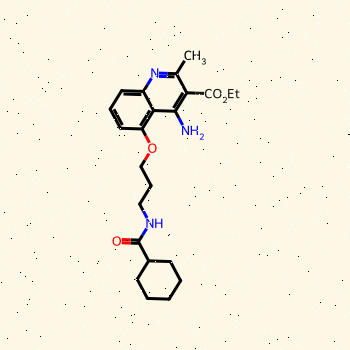 CCOC(=O)c1c(C)nc2cccc(OCCCNC(=O)C3CCCCC3)c2c1N